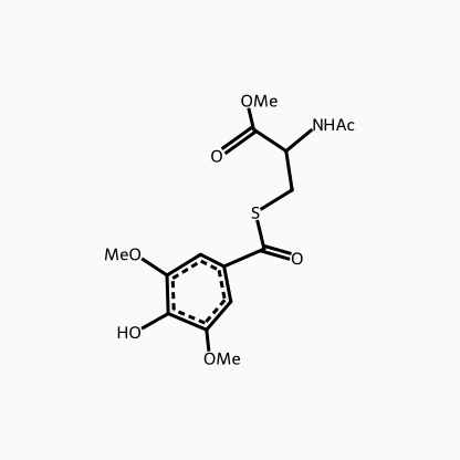 COC(=O)C(CSC(=O)c1cc(OC)c(O)c(OC)c1)NC(C)=O